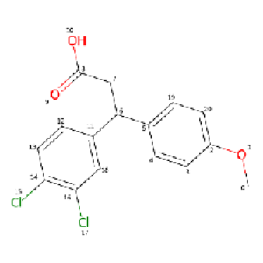 COc1ccc(C(CC(=O)O)c2ccc(Cl)c(Cl)c2)cc1